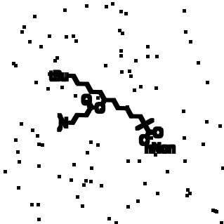 CCCCCCCCCOC(=O)C(C)(C)CCCCCC(CCCCCC(C)(C)C)OC(=O)CCCN(C)C